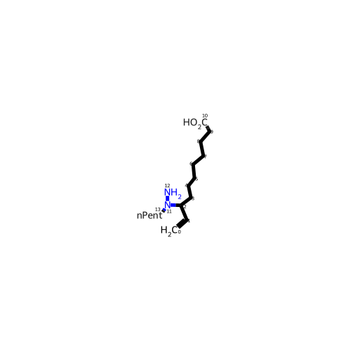 C=CC(CCCCCCCC(=O)O)N(N)CCCCC